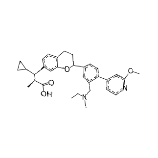 CCN(C)Cc1cc(C2CCc3ccc([C@H](C4CC4)[C@H](C)C(=O)O)cc3O2)ccc1-c1ccnc(OC)c1